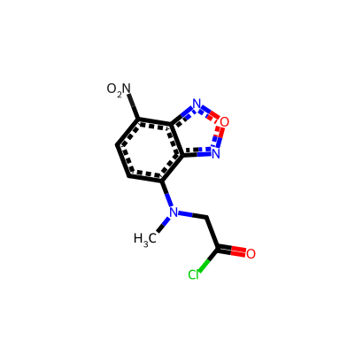 CN(CC(=O)Cl)c1ccc([N+](=O)[O-])c2nonc12